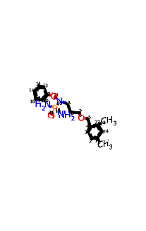 Cc1ccc(COCCCN(Oc2ccccc2)P(N)(N)=O)c(C)c1